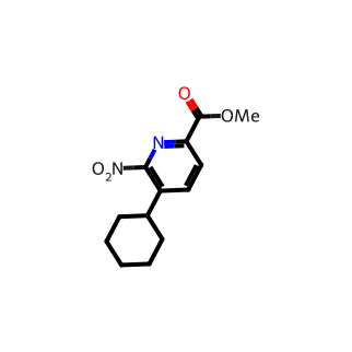 COC(=O)c1ccc(C2CCCCC2)c([N+](=O)[O-])n1